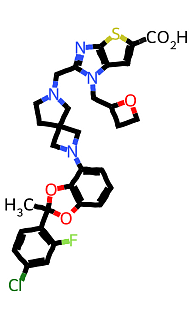 CC1(c2ccc(Cl)cc2F)Oc2cccc(N3CC4(CCN(Cc5nc6sc(C(=O)O)cc6n5CC5CCO5)C4)C3)c2O1